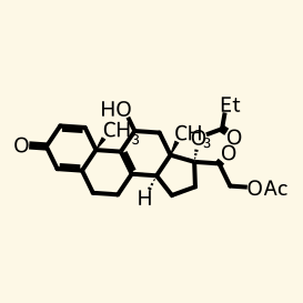 CCC(=O)O[C@]1(C(=O)COC(C)=O)CC[C@H]2C3=C(C(O)C[C@@]21C)[C@@]1(C)C=CC(=O)C=C1CC3